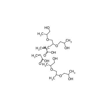 C=CC(=O)O.C=CC(=O)O.CC(O)COC(C)COC(C)CO.CC(O)COC(C)COC(C)CO